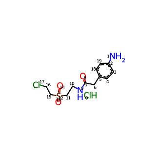 Cl.Nc1ccc(CC(=O)NCCS(=O)(=O)CCCl)cc1